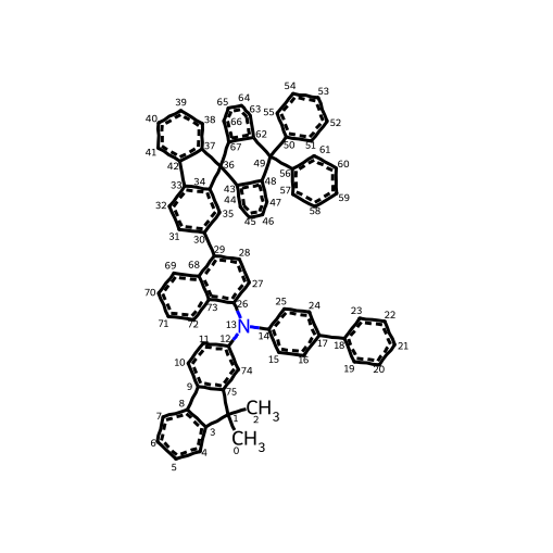 CC1(C)c2ccccc2-c2ccc(N(c3ccc(-c4ccccc4)cc3)c3ccc(-c4ccc5c(c4)C4(c6ccccc6-5)c5ccccc5C(c5ccccc5)(c5ccccc5)c5ccccc54)c4ccccc34)cc21